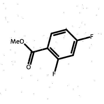 COC(=O)c1c[c]c(F)cc1F